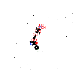 Cc1ncc2c(c1OC(=O)CCC(=O)O[C@H]1CO[C@H]3[C@@H]1OC[C@H]3ON(O)O)CO[C@H]2c1ccc(Cl)cc1